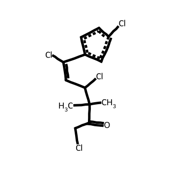 CC(C)(C(=O)CCl)C(Cl)/C=C(/Cl)c1ccc(Cl)cc1